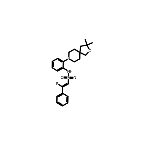 CC1(C)CC2(CCN(c3ccccc3NS(=O)(=O)/C=C(\F)c3ccccc3)CC2)CO1